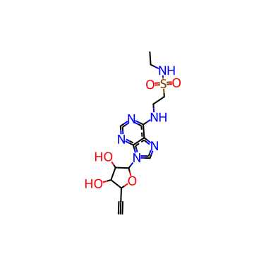 C#CC1OC(n2cnc3c(NCCS(=O)(=O)NCC)ncnc32)C(O)C1O